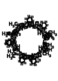 CC(C)C[C@@H]1NC(=O)[C@H](Cc2ccccc2)N(C)C(=O)C[C@@H](C(=O)N2CCCCC2)NC(=O)[C@H](CC(C)C)N(C)C(=O)CN(C)C(=O)[C@H]([C@@H](C)O)NC(=O)[C@H](Cc2ccccc2)N(C)C(=O)[C@H](Cc2ccccc2)N(C)C(=O)[C@H](CC(C)C)NC(=O)[C@H](Cc2ccccc2)N(C)C(=O)[C@H](CC(C)C)N(C)C1=O